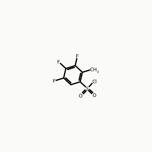 Cc1c(S(=O)(=O)Cl)cc(F)c(F)c1F